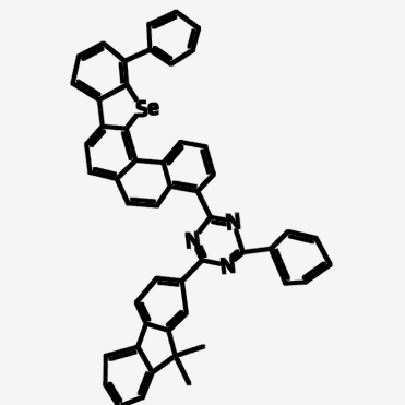 CC1(C)c2ccccc2-c2ccc(-c3nc(-c4ccccc4)nc(-c4cccc5c4ccc4ccc6c7cccc(-c8ccccc8)c7[se]c6c45)n3)cc21